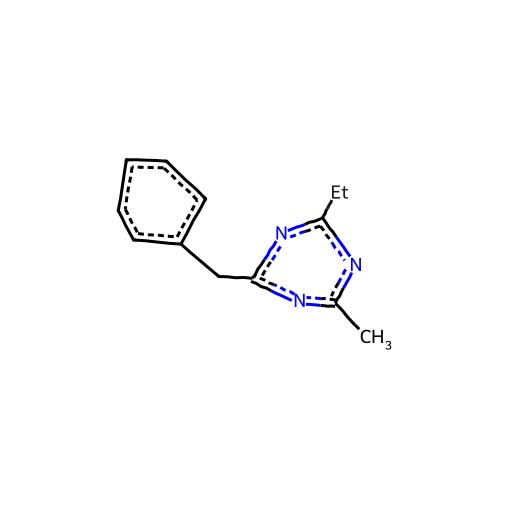 CCc1nc(C)nc(Cc2ccccc2)n1